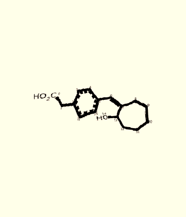 O=C(O)Cc1ccc(/C=C2/CCCCCC2O)cc1